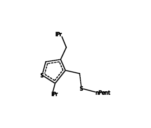 CCCCCSCc1c(CC(C)C)csc1C(C)C